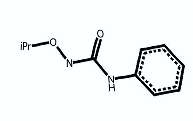 CC(C)O[N]C(=O)Nc1ccccc1